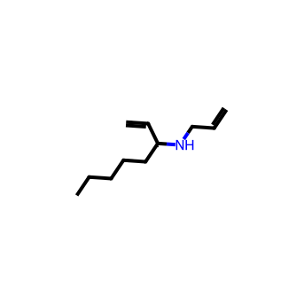 C=CCN[C](C=C)CCCCC